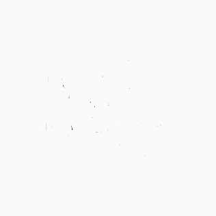 C[C@]1(C(=O)O)C[C@@H](O)CN(Cc2ccccc2)[C@@H]1C(=O)OCc1ccccc1